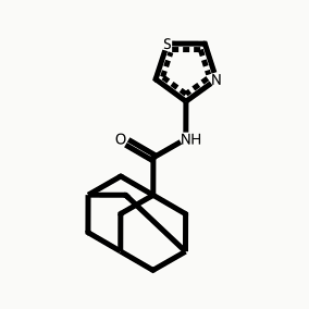 O=C(Nc1cscn1)C12CC3CC(CC(C3)C1)C2